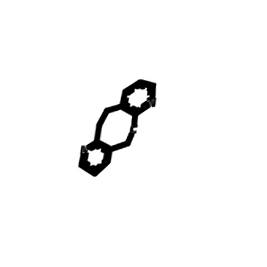 c1cnc2c(c1)CCc1ncccc1CC2